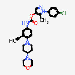 C#Cc1cc(NC(=O)Oc2cnn(-c3ccc(Cl)cc3)c2C)ccc1N1CCC(N2CCOCC2)CC1